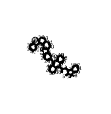 C=C(/C=C1\C(=C)C(C)(C)c2ccccc21)c1c2ccccc2c(-c2ccc3sc4c(ccc5ccc6oc7ccccc7c6c54)c3c2)c2ccccc12